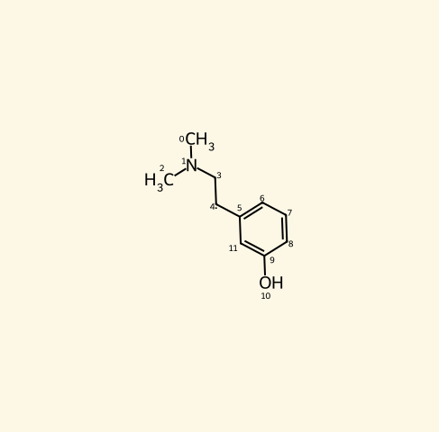 CN(C)C[CH]c1cccc(O)c1